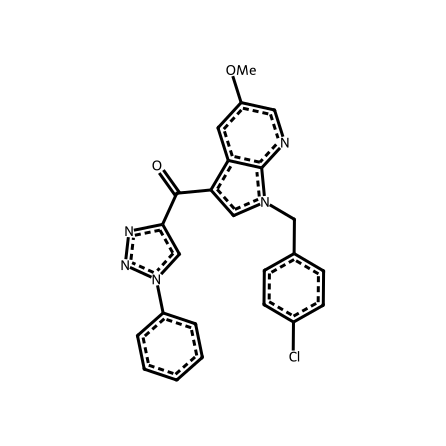 COc1cnc2c(c1)c(C(=O)c1cn(-c3ccccc3)nn1)cn2Cc1ccc(Cl)cc1